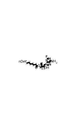 C#CC(CC)(COC(=O)CCCCCCCCCCCCCCCC)[C@@H](O)Cn1cnc2c(N)nc(F)nc21